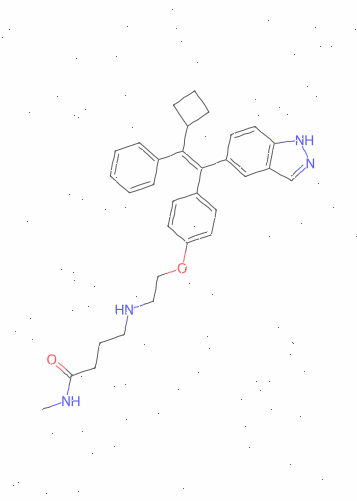 CNC(=O)CCCNCCOc1ccc(/C(=C(\c2ccccc2)C2CCC2)c2ccc3[nH]ncc3c2)cc1